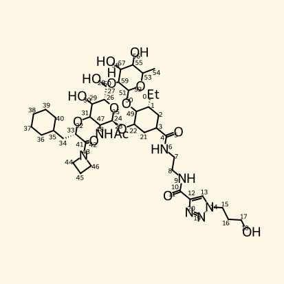 CC[C@@H]1CC(C(=O)NCCNC(=O)c2cn(CCCO)nn2)CC(O[C@@H]2O[C@@H](CO)C(O)C(O[C@@H](CC3CCCCC3)C(=O)N3CCC3)C2NC(C)=O)C1OC1OC(C)C(O)C(O)C1O